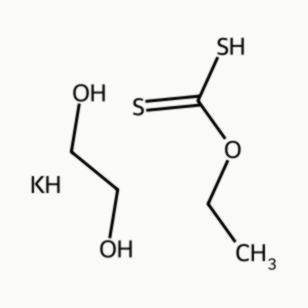 CCOC(=S)S.OCCO.[KH]